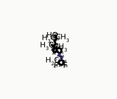 C=C1/C(=C\C=C2/CCCC3(C)C(C(C)CCCC(C)(C)O)=CCC23)CC(F)CC1F